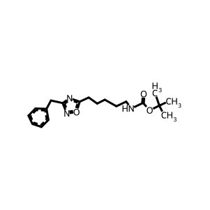 CC(C)(C)OC(=O)NCCCCCc1nc(Cc2ccccc2)no1